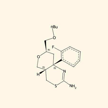 CCCCOC[C@H]1C[C@]2(c3ccccc3F)N=C(N)SC[C@@H]2CO1